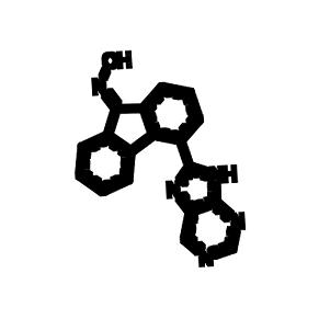 ON=C1c2ccccc2-c2c1cccc2-c1nc2cncnc2[nH]1